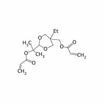 C=CC(=O)OCC1(CC)COC(C(C)(C)OC(=O)C=C)OC1